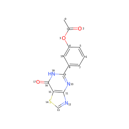 CC(=O)Oc1cccc(-c2nc3ncsc3c(=O)[nH]2)c1